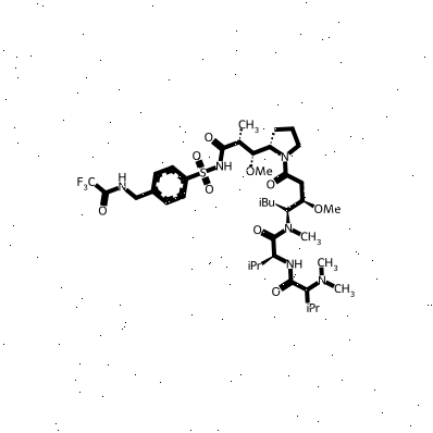 CC[C@H](C)[C@@H]([C@@H](CC(=O)N1CCC[C@H]1[C@H](OC)[C@@H](C)C(=O)NS(=O)(=O)c1ccc(CNC(=O)C(F)(F)F)cc1)OC)N(C)C(=O)[C@@H](NC(=O)C(C(C)C)N(C)C)C(C)C